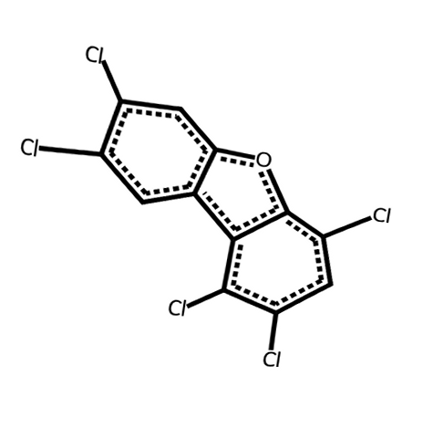 Clc1cc2oc3c(Cl)cc(Cl)c(Cl)c3c2cc1Cl